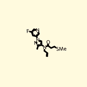 C=CCN(C(=O)CCSC)c1cn(-c2cncc(F)c2)nc1C